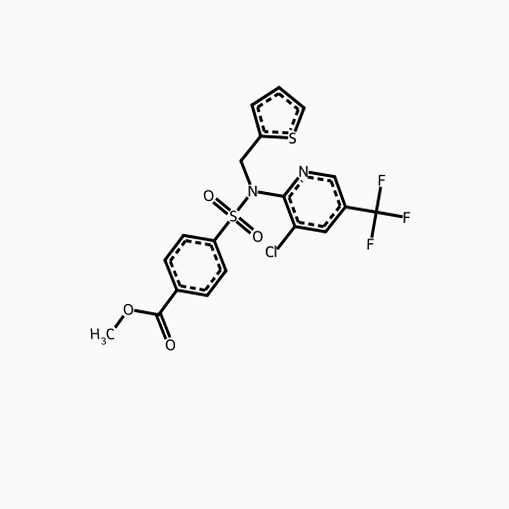 COC(=O)c1ccc(S(=O)(=O)N(Cc2cccs2)c2ncc(C(F)(F)F)cc2Cl)cc1